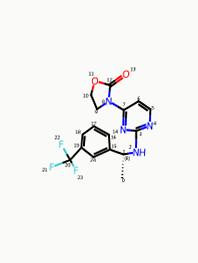 C[C@@H](Nc1nccc(N2CCOC2=O)n1)c1cccc(C(F)(F)F)c1